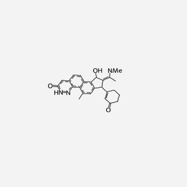 CN/C(C)=C1\C(O)c2c(cc(C)c3c2ccc2cc(=O)[nH]nc23)C1C1=CC(=O)CCC1